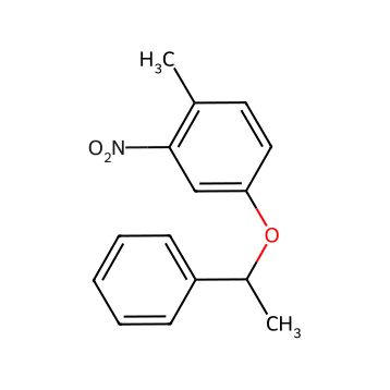 Cc1ccc(OC(C)c2ccccc2)cc1[N+](=O)[O-]